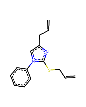 C=CCSc1nc(CC=C)cn1-c1ccccc1